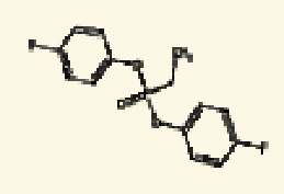 CCP(=O)(Oc1ccc(F)cc1)Oc1ccc(F)cc1